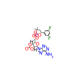 CC1(C)C[C@@H](c2cc(F)cc(F)c2)OP(=O)(OC[C@H]2O[C@@H](n3cnc4c(N)ncnc43)[C@@H]3OC(=O)O[C@@H]32)O1